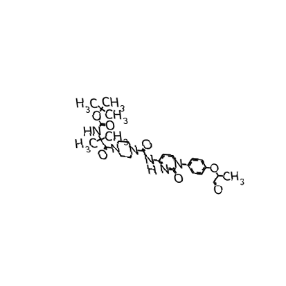 CC(C=O)Oc1ccc(-n2ccc(NC(=O)N3CCN(C(=O)C(C)(C)NC(=O)OC(C)(C)C)CC3)nc2=O)cc1